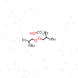 CCCCC(CC)COOCC(CC)CCCC.O=C(O)O